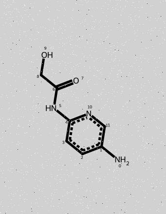 Nc1ccc(NC(=O)CO)nc1